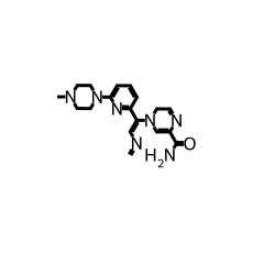 C=N/C=C(/c1cccc(N2CCN(C)CC2)n1)N1C=C(C(N)=O)N=CC1